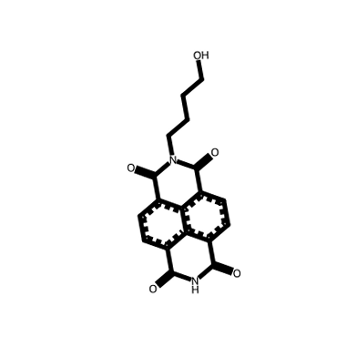 O=C1NC(=O)c2ccc3c4c(ccc1c24)C(=O)N(CCCCO)C3=O